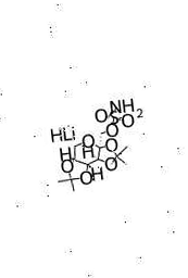 CC1(C)O[C@@H]2[C@@H](CO[C@@]3(COS(N)(=O)=O)OC(C)(C)O[C@@H]23)O1.[LiH]